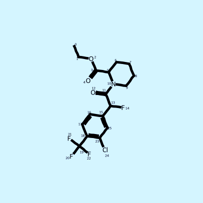 CCOC(=O)C1CCCCN1C(=O)C(F)c1ccc(C(F)(F)F)c(Cl)c1